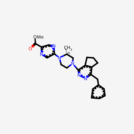 COC(=O)c1cnc(N2CCN(c3nnc(Cc4ccccc4)c4c3CCC4)C[C@H]2C)cn1